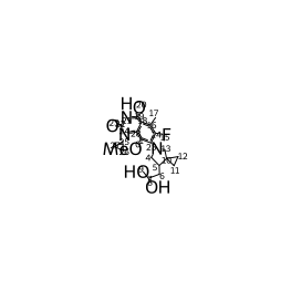 COc1c(N2CC(CC(O)O)C3(CC3)C2)c(F)c(C)c2c(=O)[nH]c(=O)n(C3CC3)c12